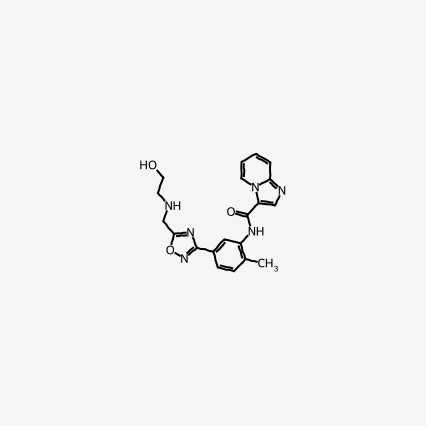 Cc1ccc(-c2noc(CNCCO)n2)cc1NC(=O)c1cnc2ccccn12